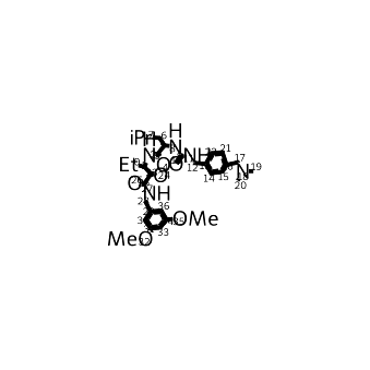 CCC(NC(=O)C(CC(C)C)NC(=O)NCc1ccc(CN(C)C)cc1)C(=O)C(=O)NCc1cc(OC)cc(OC)c1